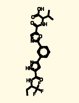 CCC(NC(=O)c1cc(-c2cccc(-c3ncc(C(=O)NC(C(=O)O)C(C)C)o3)c2)n[nH]1)C(F)(F)F